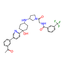 CC(=O)c1cccc(-c2ccc(C3(O)CCC(NC4CCN(C(=O)CNC(=O)c5cccc(C(F)(F)F)c5)C4)CC3)nc2)c1